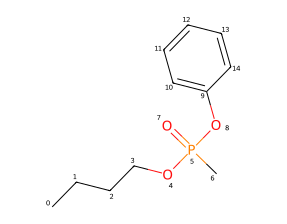 CCCCOP(C)(=O)Oc1ccccc1